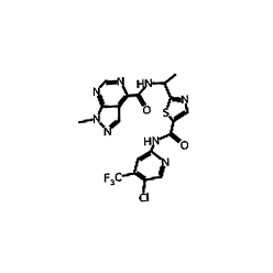 CC(NC(=O)c1ncnc2c1cnn2C)c1ncc(C(=O)Nc2cc(C(F)(F)F)c(Cl)cn2)s1